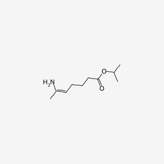 CC(N)=CCCCC(=O)OC(C)C